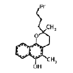 Cc1c2c(c3ccccc3c1O)OC(C)(CCCC(C)C)CC2